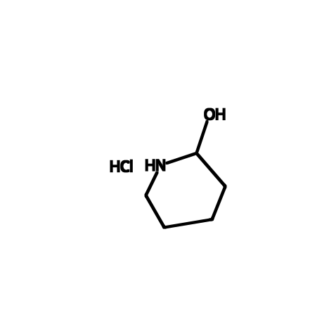 Cl.OC1CCCCN1